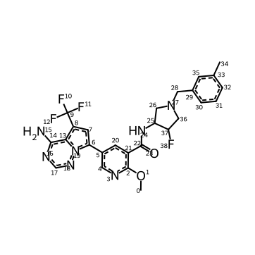 COc1ncc(-c2cc(C(F)(F)F)c3c(N)ncnn23)cc1C(=O)NC1CN(Cc2cccc(C)c2)CC1F